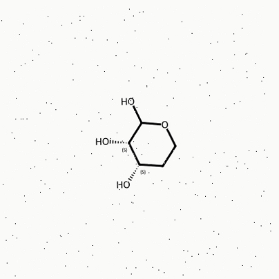 OC1OCC[C@H](O)[C@@H]1O